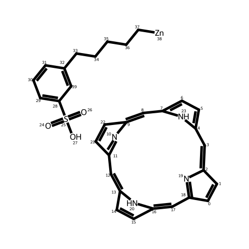 C1=Cc2cc3ccc(cc4nc(cc5ccc(cc1n2)[nH]5)C=C4)[nH]3.O=S(=O)(O)c1cccc(CCCC[CH2][Zn])c1